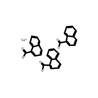 O=C([O-])c1cccc2ccccc12.O=C([O-])c1cccc2ccccc12.O=C([O-])c1cccc2ccccc12.[Ga+3]